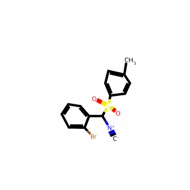 [C-]#[N+]C(c1ccccc1Br)S(=O)(=O)c1ccc(C)cc1